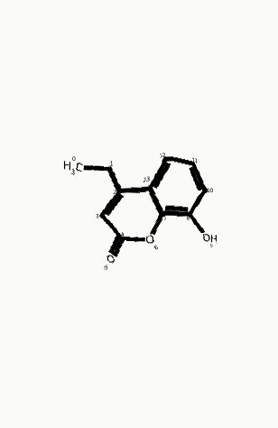 CCc1cc(=O)oc2c(O)cccc12